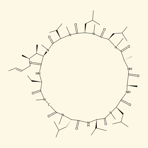 C/C=C/C[C@@H](C)[C@@H](C)[C@@H]1C(=O)N[C@H](CC)C(=O)N(C)CC(=O)N(C)[C@@H](CC(C)C)C(=O)N[C@H](C(C)C)C(=O)N(C)[C@H](CC(C)C)C(=O)N[C@H](C)C(=O)N[C@@H](C)C(=O)N(C)[C@H](CC(C)C)C(=O)N(C)[C@H](CC(C)C)C(=O)N(C)[C@H](C(C)C)C(=O)N1C